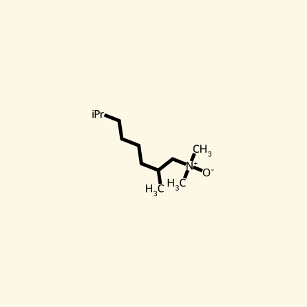 CC(C)CCCCC(C)C[N+](C)(C)[O-]